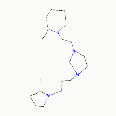 CC1CCCCN1CCN1CCN(CCCN2CCC[C@@H]2C)C1